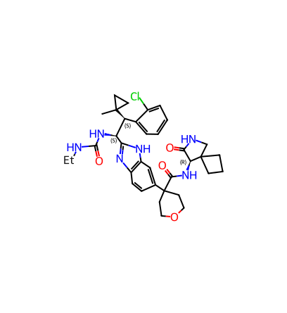 CCNC(=O)N[C@H](c1nc2ccc(C3(C(=O)N[C@H]4C(=O)NCC45CCC5)CCOCC3)cc2[nH]1)[C@H](c1ccccc1Cl)C1(C)CC1